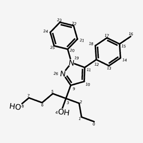 CCCC(O)(CCCO)c1cc(-c2ccc(C)cc2)n(-c2ccccc2)n1